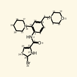 O=C(Nc1ccc(CN2CCOCC2)cc1N1CCCCC1)C1=CSC(Br)N1